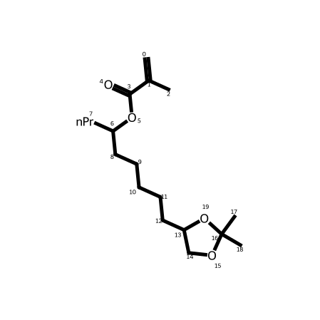 C=C(C)C(=O)OC(CCC)CCCCCC1COC(C)(C)O1